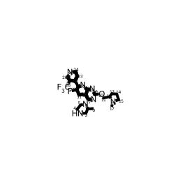 CC1CNCCN1c1nc(OCC2CCCN2C)nc2nc(-c3ccncc3C(F)(F)F)c(F)cc12